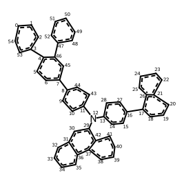 c1ccc(-c2ccc(-c3ccc(N(c4ccc(-c5cccc6ccccc56)cc4)c4cc5ccccc5c5ccccc45)cc3)cc2-c2ccccc2)cc1